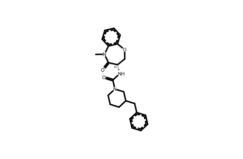 CN1C(=O)[C@@H](NC(=O)N2CCCC(Cc3ccccc3)C2)COc2ccccc21